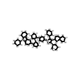 c1ccc(-c2nn(-c3ccc(-c4ccccc4-c4ccccc4-c4ccc5c(c4)c4ccccc4n5-c4ccccc4)cc3)c(-c3ccccc3)c2-c2ccc3ccccc3c2)cc1